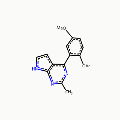 COc1ccc(OC(C)=O)c(-c2nc(C)nc3[nH]ccc23)c1